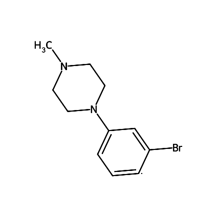 CN1CCN(c2cc[c]c(Br)c2)CC1